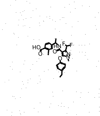 CCc1ccc(Oc2c(C(=O)NC(C)c3ccc(C(=O)O)c(C)c3)c(C(F)F)nn2C)cc1